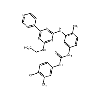 Cc1ccc(NC(=O)Nc2ccc(Cl)c(C(F)(F)F)c2)cc1Nc1nc(NCC(=O)O)nc(-c2ccncc2)n1